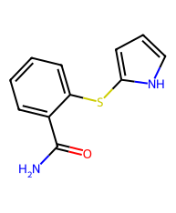 NC(=O)c1ccccc1Sc1ccc[nH]1